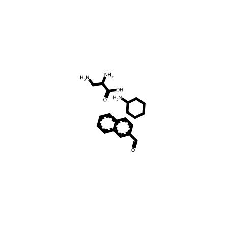 NC1CCCCC1.NCC(N)C(=O)O.O=Cc1ccc2ccccc2c1